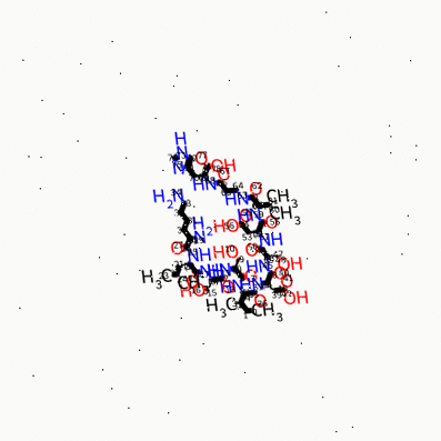 CC[C@H](C)[C@H](NC(=O)[C@H](CO)NC(=O)[C@H](CO)NC(=O)[C@H](CC(C)C)NC(=O)[C@@H](N)CCCCN)C(=O)N[C@@H](CC(=O)O)C(=O)N[C@@H](CO)C(=O)N[C@@H](CC(=O)O)C(=O)N[C@H](C(=O)NCCC(=O)N[C@@H](Cc1c[nH]cn1)C(=O)O)C(C)C